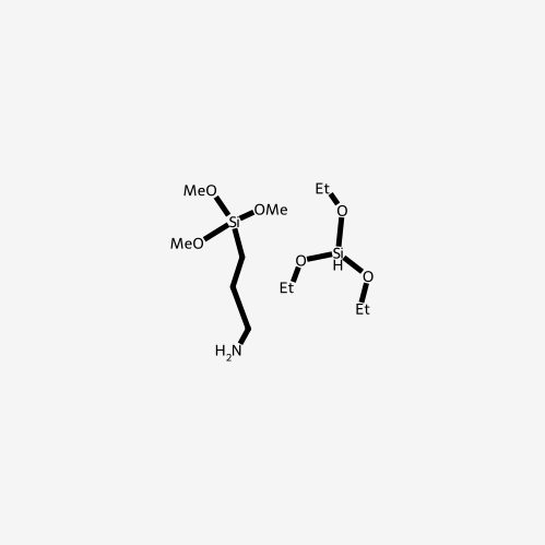 CCO[SiH](OCC)OCC.CO[Si](CCCN)(OC)OC